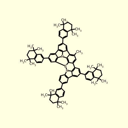 Cc1cc2c3c4c1c1cc(-c5ccc6c(c5)C(C)(C)CCC6(C)C)cc5c6cc(-c7ccc8c(c7)C(C)(C)CCC8(C)C)cc(c6n4c51)B3n1c3ccc(-c4ccc5c(c4)C(C)(C)CCC5(C)C)cc3c3cc(-c4ccc5c(c4)C(C)(C)CCC5(C)C)cc-2c31